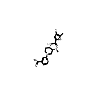 CO[C@H]1CN(c2cc(C(=O)O)ccn2)CC[C@H]1NC(=O)c1cc(Cl)c(C)[nH]1